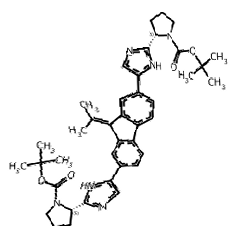 CC(C)=C1c2cc(-c3cnc([C@@H]4CCCN4C(=O)OC(C)(C)C)[nH]3)ccc2-c2ccc(-c3cnc([C@@H]4CCCN4C(=O)OC(C)(C)C)[nH]3)cc21